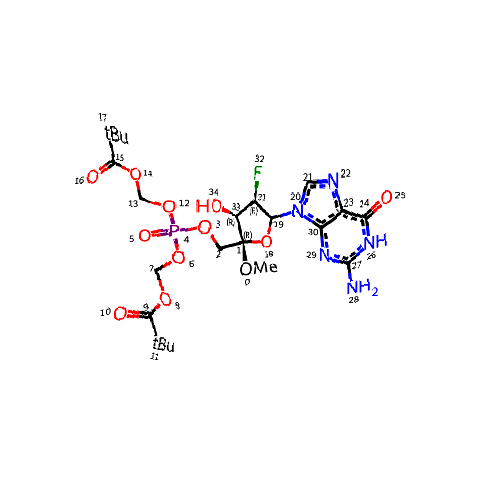 CO[C@]1(COP(=O)(OCOC(=O)C(C)(C)C)OCOC(=O)C(C)(C)C)OC(n2cnc3c(=O)[nH]c(N)nc32)[C@H](F)[C@@H]1O